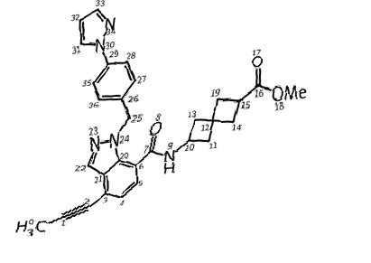 CC#Cc1ccc(C(=O)NC2CC3(C2)CC(C(=O)OC)C3)c2c1cnn2Cc1ccc(-n2cccn2)cc1